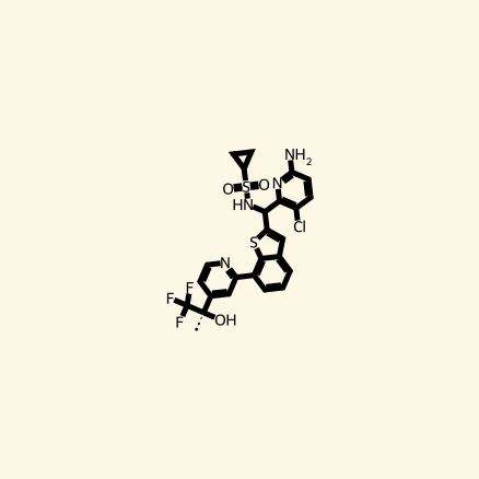 C[C@@](O)(c1ccnc(-c2cccc3cc(C(NS(=O)(=O)C4CC4)c4nc(N)ccc4Cl)sc23)c1)C(F)(F)F